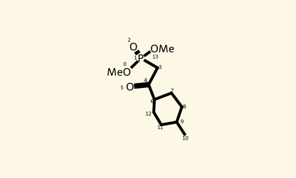 COP(=O)(CC(=O)C1CCC(C)CC1)OC